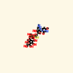 C=C[C@@]1(N=[N+]=[N-])[C@H](O)[C@@H](COP(=O)(S)OP(=O)(O)OC2OC3(O)C2C(O)C(O)C3[C@@H](O)CO)O[C@H]1n1ccc(=O)[nH]c1=O